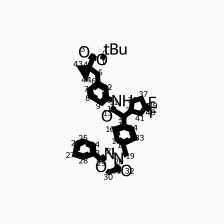 CC(C)(C)OC(=O)C1(Cc2cccc(NC(=O)C(c3ccc(CN4N=C(c5ccccc5)OCC4=O)cc3)C3CCC(F)(F)C3)c2)CC1